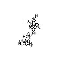 CCN1C(=O)N(c2c(F)cc(NCCN(CCO[Si](C)(C)C(C)(C)C)C(=O)O)cc2F)c2cc(Cl)ccc2-c2cc(C#N)ncc21